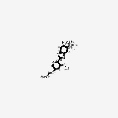 CCSc1cc(OCOC)cnc1-c1nc2cc([SH](C)(F)(F)F)ccc2o1